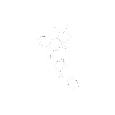 COc1cnc(C)c(F)c1-c1cc(C)ncc1C(=O)Nc1nnc(OC2CC3CCC2O3)s1